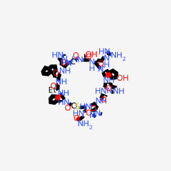 CC[C@@H]1NC(=O)[C@H](Cc2ccccc2)NC(=O)CSC[C@@H](C(=O)NCC(N)=O)NC(=O)[C@H](Cc2cncn2C)NC(=O)[C@H](C)NC(=O)[C@H](Cc2c[nH]cn2)NC(=O)[C@H](Cc2ccc(O)cc2)N(C)C(=O)[C@H](CCCNC(=N)N)NC(=O)[C@H](CO)NC(=O)CNC(=O)[C@H](Cc2c[nH]cn2)NC(=O)[C@H](Cc2cccc3ccccc23)NC1=O